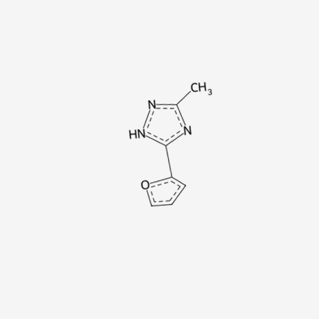 Cc1n[nH]c(-c2ccco2)n1